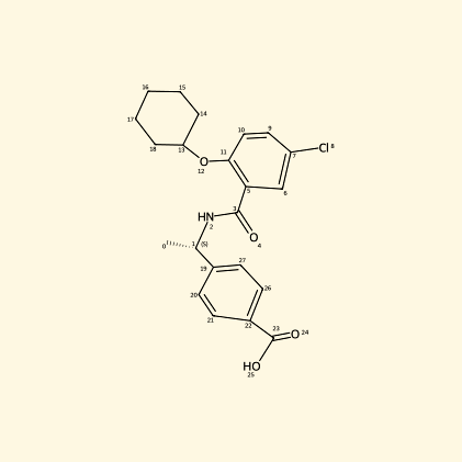 C[C@H](NC(=O)c1cc(Cl)ccc1OC1CCCCC1)c1ccc(C(=O)O)cc1